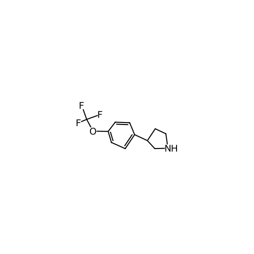 FC(F)(F)Oc1ccc(C2CCNC2)cc1